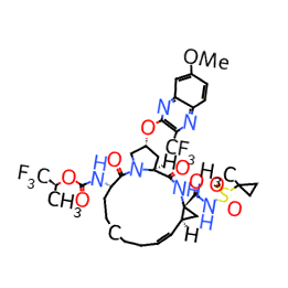 COc1ccc2nc(C(F)(F)F)c(O[C@@H]3C[C@H]4C(=O)N[C@]5(C(=O)NS(=O)(=O)C6(C)CC6)C[C@H]5/C=C\CCCCC[C@H](NC(=O)O[C@@H](C)C(F)(F)F)C(=O)N4C3)nc2c1